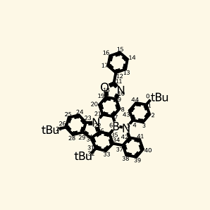 CC(C)(C)c1ccc(N2B3c4cc5nc(-c6ccccc6)oc5cc4-n4c5ccc(C(C)(C)C)cc5c5c(C(C)(C)C)cc(c3c54)-c3ccccc32)cc1